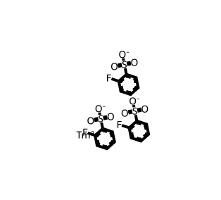 O=S(=O)([O-])c1ccccc1F.O=S(=O)([O-])c1ccccc1F.O=S(=O)([O-])c1ccccc1F.[Tm+3]